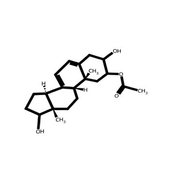 CC(=O)OC1C[C@@]2(C)C(=CC=C3[C@H]2CC[C@]2(C)C(O)CC[C@@H]32)CC1O